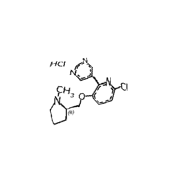 CN1CCC[C@@H]1COc1ccc(Cl)nc1-c1cncnc1.Cl